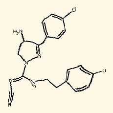 N#C/N=C(\NCCc1ccc(Cl)cc1)N1CC(N)C(c2ccc(Cl)cc2)=N1